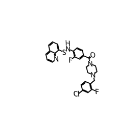 O=C(c1ccc(NSc2cccc3cccnc23)c(F)c1)N1CCN(Cc2ccc(Cl)cc2F)CC1